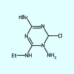 CCCCC1=NC(Cl)N(N)C(NCC)=N1